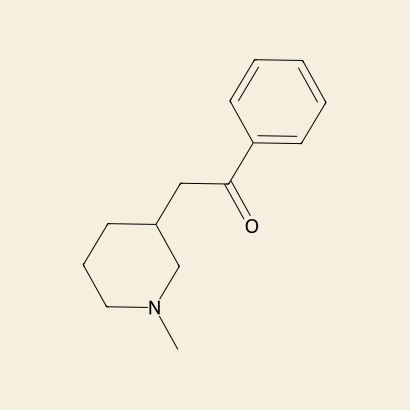 CN1CCCC(CC(=O)c2ccccc2)C1